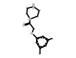 Cc1cc(C)cc(OCC(=O)N2CCNCC2)c1